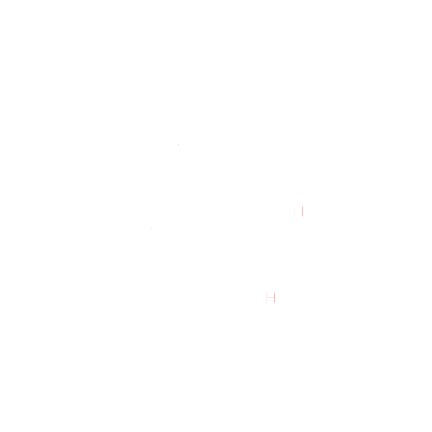 C=C(C)CCCC(C)CCO.C=C(C)CCCC(C)CCO